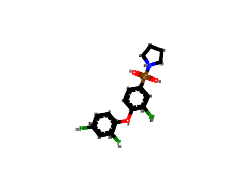 O=S(=O)(c1ccc(Oc2ccc(F)cc2F)c(Br)c1)N1CCCC1